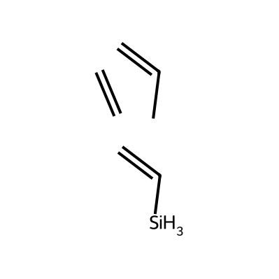 C=C.C=CC.C=C[SiH3]